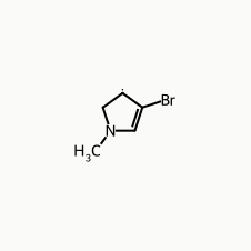 CN1C=C(Br)[CH]C1